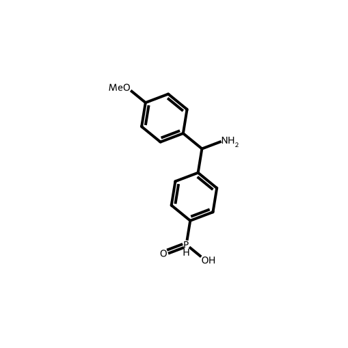 COc1ccc(C(N)c2ccc([PH](=O)O)cc2)cc1